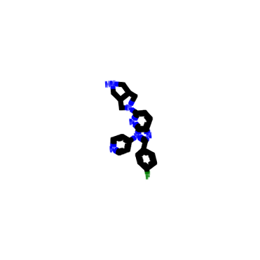 Fc1ccc(-c2nc3ccc(N4CC5CNCC5C4)nc3n2-c2ccncc2)cc1